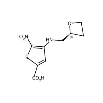 O=C(O)c1cc(NC[C@@H]2CCO2)c([N+](=O)[O-])s1